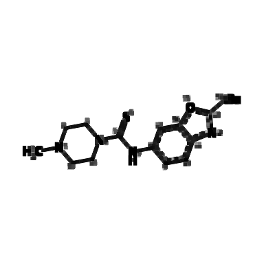 CN1CCN(C(=S)Nc2ccc3nc(C(C)(C)C)oc3c2)CC1